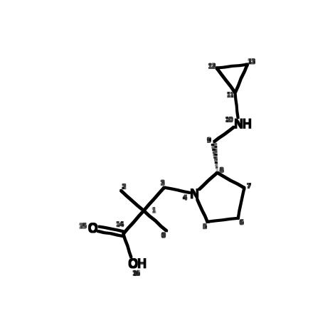 CC(C)(CN1CCC[C@H]1CNC1CC1)C(=O)O